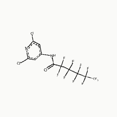 O=C(Nc1cc(Cl)nc(Cl)c1)C(F)(F)C(F)(F)C(F)(F)C(F)(F)C(F)(F)F